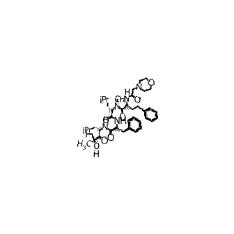 CC(C)C[C@H](NC(=O)[C@H](Cc1ccccc1)NC(=O)[C@H](CC(C)C)N(C)C(=O)[C@H](CCc1ccccc1)NC(=O)CN1CCOCC1)C(=O)[C@](C)(O)CI